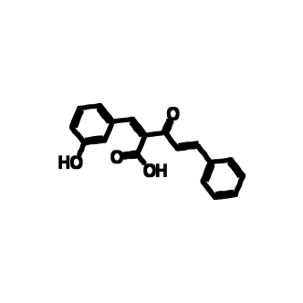 O=C(O)C(=Cc1cccc(O)c1)C(=O)C=Cc1ccccc1